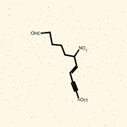 CCCCCCCCC#C/C=C/C(CCCC[C]=O)[N+](=O)[O-]